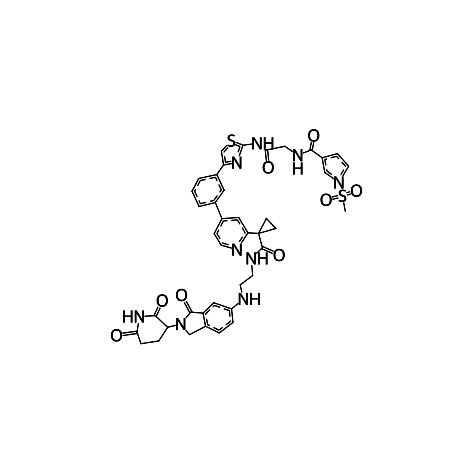 CS(=O)(=O)n1ccc(C(=O)NCC(=O)Nc2nc(-c3cccc(-c4ccnc(C5(C(=O)NCCNc6ccc7c(c6)C(=O)N(C6CCC(=O)NC6=O)C7)CC5)c4)c3)cs2)c1